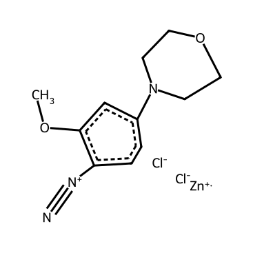 COc1cc(N2CCOCC2)ccc1[N+]#N.[Cl-].[Cl-].[Zn+]